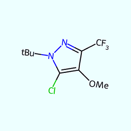 COc1c(C(F)(F)F)nn(C(C)(C)C)c1Cl